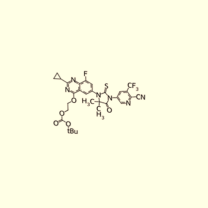 CC(C)(C)OC(=O)OCCOc1nc(C2CC2)nc2c(F)cc(N3C(=S)N(c4cnc(C#N)c(C(F)(F)F)c4)C(=O)C3(C)C)cc12